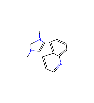 CN1C=CN(C)C1.c1ccc2ncccc2c1